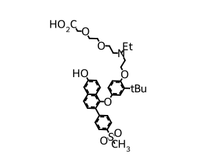 CCN(CCOCCOCC(=O)O)CCOc1ccc(Oc2c(-c3ccc(S(C)(=O)=O)cc3)ccc3cc(O)ccc23)cc1C(C)(C)C